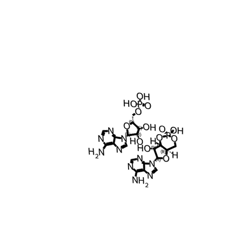 Nc1ncnc2c1ncn2[C@@H]1O[C@@H]2COP(=O)(O)O[C@H]2[C@H]1O.Nc1ncnc2c1ncn2[C@@H]1O[C@H](COP(=O)(O)O)[C@@H](O)[C@H]1O